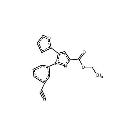 CCOC(=O)c1cc(-c2ccco2)n(-c2cccc(C#N)c2)n1